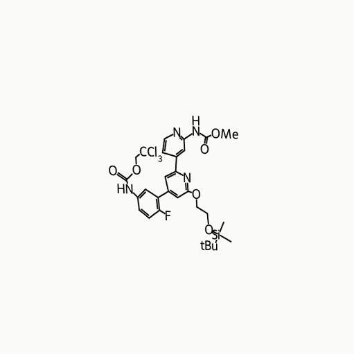 COC(=O)Nc1cc(-c2cc(-c3cc(NC(=O)OCC(Cl)(Cl)Cl)ccc3F)cc(OCCO[Si](C)(C)C(C)(C)C)n2)ccn1